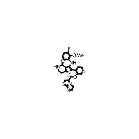 COc1c(F)cccc1Nc1c(-c2ccncc2OCc2csc3nccn23)[nH]c2c1C(=O)NCC2